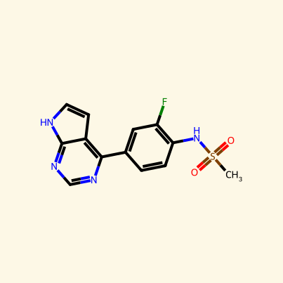 CS(=O)(=O)Nc1ccc(-c2ncnc3[nH]ccc23)cc1F